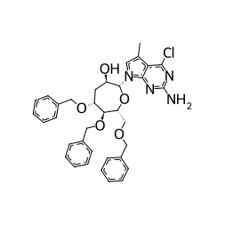 Cc1cn([C@@H]2O[C@H](COCc3ccccc3)[C@@H](OCc3ccccc3)[C@H](OCc3ccccc3)C[C@H]2O)c2nc(N)nc(Cl)c12